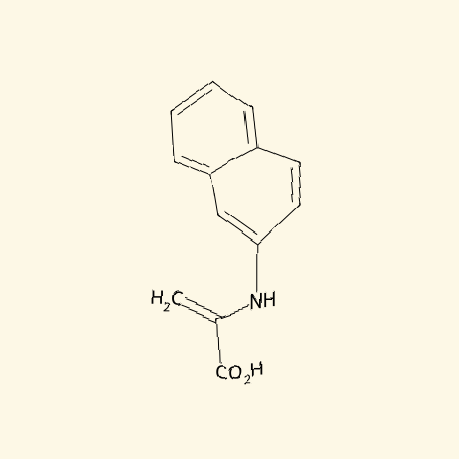 C=C(Nc1ccc2ccccc2c1)C(=O)O